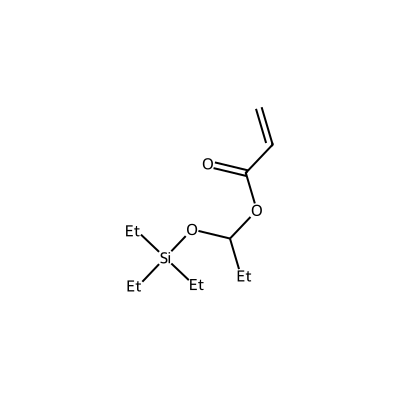 C=CC(=O)OC(CC)O[Si](CC)(CC)CC